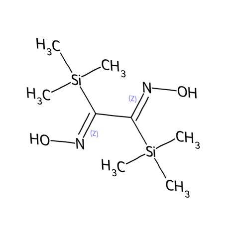 C[Si](C)(C)C(=N\O)/C(=N/O)[Si](C)(C)C